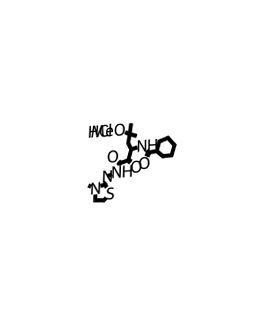 COC(C)(C)CC(NC(=O)C1CCCCC1)C(=O)C(=O)NN=C1SCCN1C.Cl